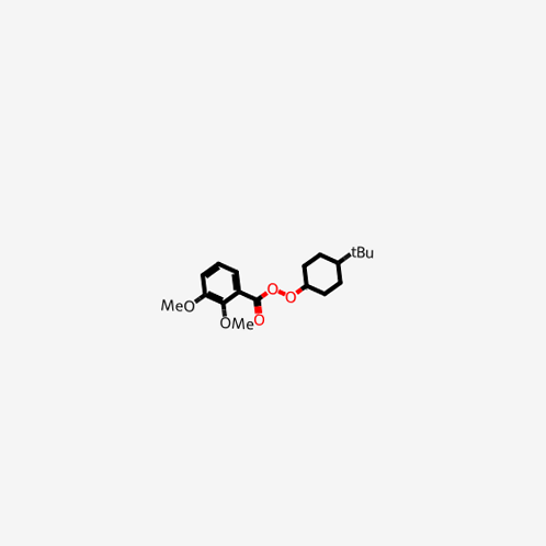 COc1cccc(C(=O)OO[C]2CCC(C(C)(C)C)CC2)c1OC